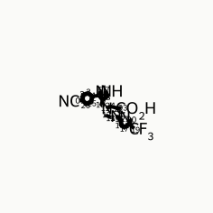 N#Cc1ccc(-c2n[nH]cc2CN2CCN(c3ccc(C(F)(F)F)cn3)C(C(=O)O)C2)cc1